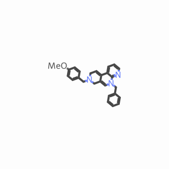 COc1ccc(CN2CC=C3C(=CN(Cc4ccccc4)c4ncccc43)C2)cc1